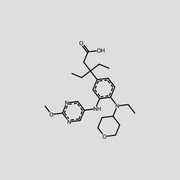 CCN(c1ccc(C(CC)(CC)CC(=O)O)cc1Nc1cnc(OC)nc1)C1CCOCC1